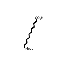 CCCCCCCCC=CCCCC=CC=CC(=O)O